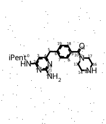 CCCC(C)Nc1cc(Cc2ccc(C(=O)N3CCNCC3)cc2)nc(N)n1